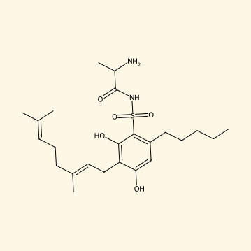 CCCCCc1cc(O)c(C/C=C(\C)CCC=C(C)C)c(O)c1S(=O)(=O)NC(=O)C(C)N